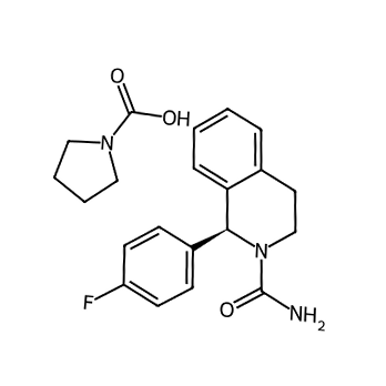 NC(=O)N1CCc2ccccc2[C@@H]1c1ccc(F)cc1.O=C(O)N1CCCC1